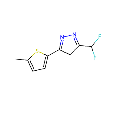 Cc1ccc(C2=NN=C(C(F)F)C2)s1